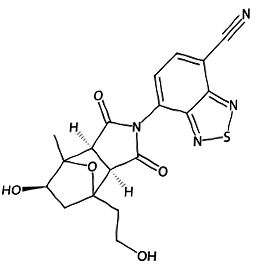 CC12OC(CCO)(C[C@H]1O)[C@@H]1C(=O)N(c3ccc(C#N)c4nsnc34)C(=O)[C@@H]12